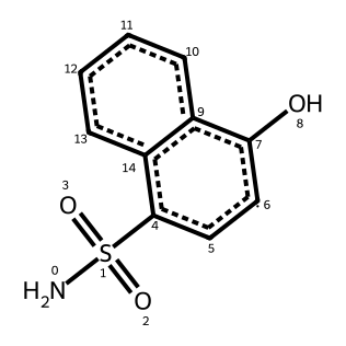 NS(=O)(=O)c1c[c]c(O)c2ccccc12